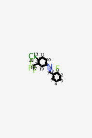 Fc1ccccc1/C=N/c1ccc(Cl)c(C(F)(F)F)c1